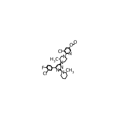 C[C@@H]1CN(c2ncc(OC=O)cc2Cl)CCN1c1cc(-c2ccc(F)c(Cl)c2)nc(N2CCCC[C@@H]2C)n1